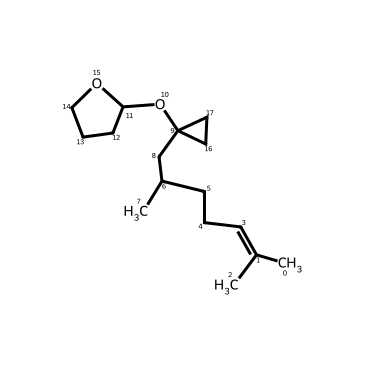 CC(C)=CCCC(C)CC1(OC2CCCO2)CC1